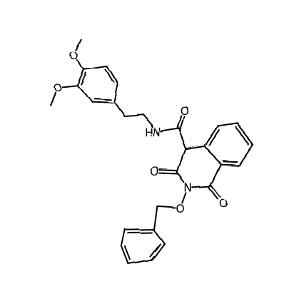 COc1ccc(CCNC(=O)C2C(=O)N(OCc3ccccc3)C(=O)c3ccccc32)cc1OC